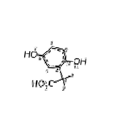 CC(C)(C(=O)O)c1cc(O)ccc1O